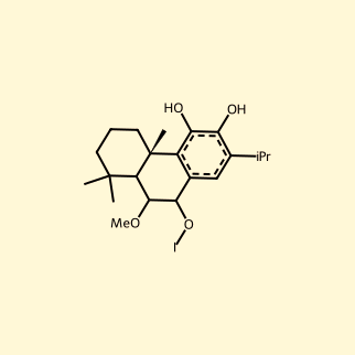 COC1C(OI)c2cc(C(C)C)c(O)c(O)c2[C@@]2(C)CCCC(C)(C)C12